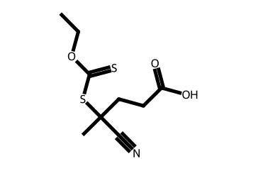 CCOC(=S)SC(C)(C#N)CCC(=O)O